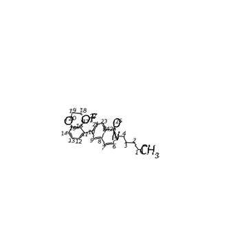 CCCCCn1ccc2cc(-c3cccc4c3OCCO4)c(F)cc2c1=O